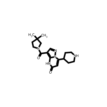 CC1(C)CCN(C(=O)c2cnn3c(C4CCNCC4)cc(=O)[nH]c23)C1